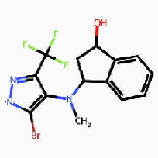 CN(C1=C(Br)[N]N=C1C(F)(F)F)C1CC(O)c2ccccc21